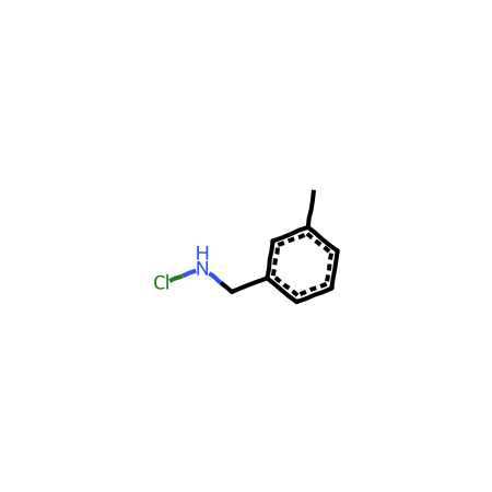 Cc1cccc(CNCl)c1